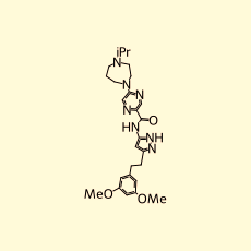 COc1cc(CCc2cc(NC(=O)c3cnc(N4CCCN(C(C)C)CC4)cn3)[nH]n2)cc(OC)c1